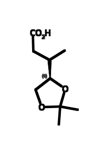 CC(CC(=O)O)[C@@H]1COC(C)(C)O1